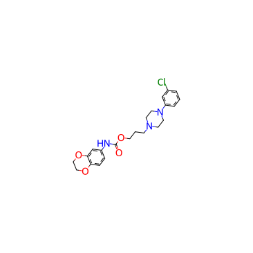 O=C(Nc1ccc2c(c1)OCCO2)OCCCN1CCN(c2cccc(Cl)c2)CC1